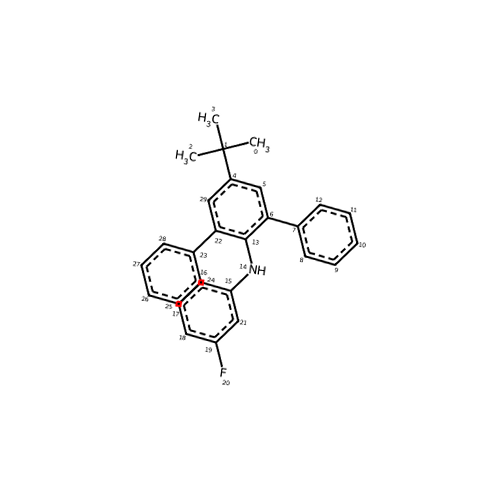 CC(C)(C)c1cc(-c2ccccc2)c(Nc2cccc(F)c2)c(-c2ccccc2)c1